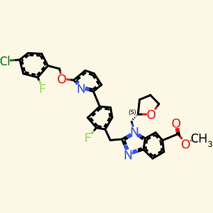 COC(=O)c1ccc2nc(Cc3ccc(-c4cccc(OCc5ccc(Cl)cc5F)n4)cc3F)n(C[C@@H]3CCCO3)c2c1